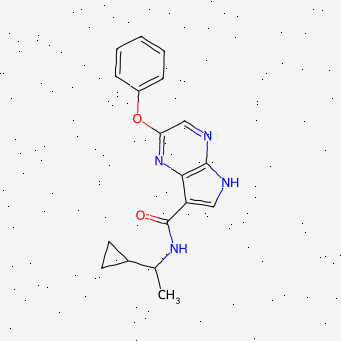 CC(NC(=O)c1c[nH]c2ncc(Oc3ccccc3)nc12)C1CC1